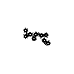 c1ccc(-n2c3ccccc3c3cc(-n4c5ccccc5c5cc(Sc6ccc7c(c6)c6ccccc6n7-c6ccc7sc8ccccc8c7c6)ccc54)ccc32)cc1